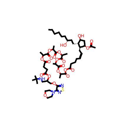 CCCCCC[C@@H](O)CC[C@H]1[C@H](C/C=C\CCCC(=O)OC(=O)C(C)OC(=O)C(C)OC(=O)C(C)OC(=O)C(C)OC(=O)C(C)OC(=O)CCC(=O)OC(CNC(C)(C)C)COc2nsnc2N2CCOCC2)[C@H](OC(C)=O)C[C@@H]1O